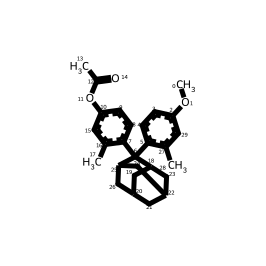 COc1ccc(C2(c3ccc(OC(C)=O)cc3C)C3CC4CC(C3)CC2C4)c(C)c1